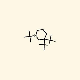 CC(C)(C)N1CCCC(C(C)(C)C)(C(C)(C)C)C1